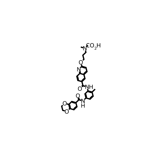 Cc1ccc(NC(=O)c2ccc3c(c2)OCCO3)cc1NC(=O)c1ccc2nc(OCCCN(C)C(=O)O)ccc2c1